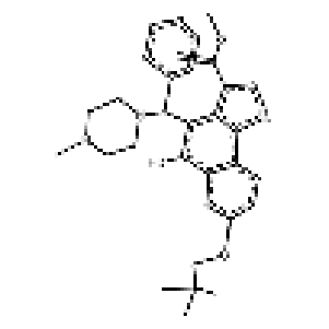 COC(=O)c1coc2c1c(C(c1ccncc1)N1CCN(C)CC1)c(O)c1cc(OCC(C)(C)C)ccc12